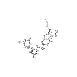 CCCCN1Cc2cc(OCc3c[nH]nc3-c3cccc(F)c3)ccc2C1C=O